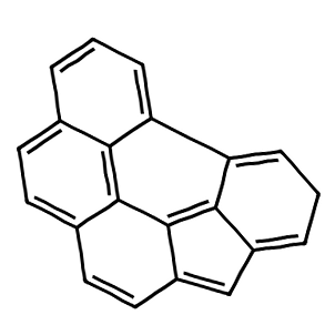 C1=C2C=c3ccc4ccc5cccc6c(c2c3c4c56)=CC1